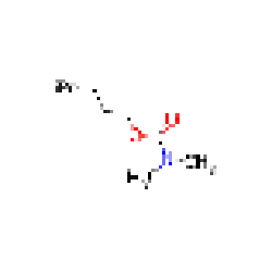 CC(C)CCCOC(=O)N(C)C